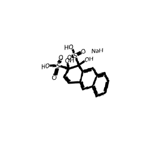 O=S(=O)(O)C1(O)C=Cc2cc3ccccc3cc2C1(O)S(=O)(=O)O.[NaH]